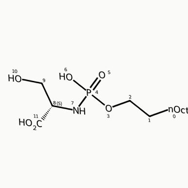 CCCCCCCCCCOP(=O)(O)N[C@@H](CO)C(=O)O